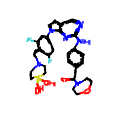 O=C(c1ccc(Nc2ncc3ccn(-c4cc(F)c(CN5CCS(O)(O)CC5)c(F)c4)c3n2)cc1)N1CCOCC1